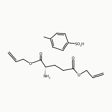 C=CCOC(=O)CC[C@H](N)C(=O)OCC=C.Cc1ccc(S(=O)(=O)O)cc1